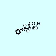 CCCCC(CC(=O)O)C(=O)C(=O)OCc1ccccc1